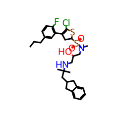 CCCc1ccc(F)c(C2=C(Cl)SC(S(=O)(=O)N(C)C[C@H](O)CNC(C)(C)CC3Cc4ccccc4C3)C2)c1